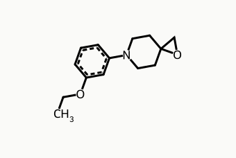 CCOc1cccc(N2CCC3(CC2)CO3)c1